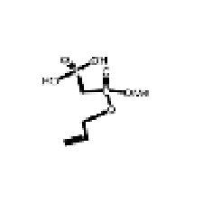 C=CCOP(=O)(CP(=O)(O)O)OC